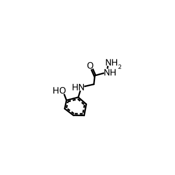 NNC(=O)CNc1ccccc1O